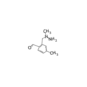 Cc1ccc(C=O)c(CN(C)N)c1